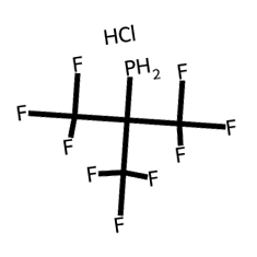 Cl.FC(F)(F)C(P)(C(F)(F)F)C(F)(F)F